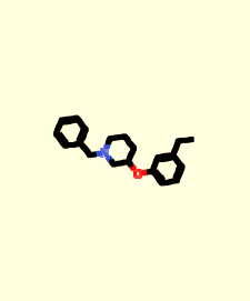 CCc1cccc(OC2CCCN(Cc3ccccc3)C2)c1